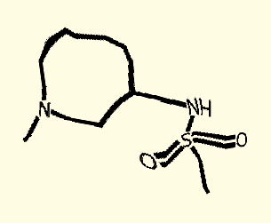 CN1CCCC(NS(C)(=O)=O)C1